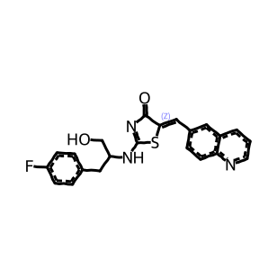 O=C1N=C(NC(CO)Cc2ccc(F)cc2)S/C1=C\c1ccc2ncccc2c1